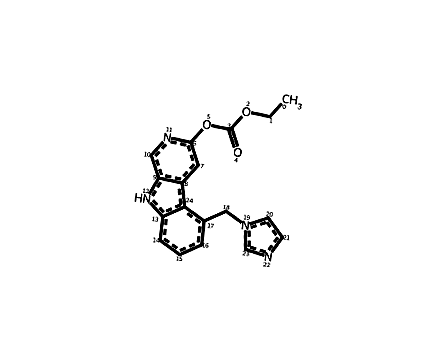 CCOC(=O)Oc1cc2c(cn1)[nH]c1cccc(Cn3ccnc3)c12